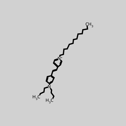 CCCCCCCCCCCCC[n+]1ccc(/C=C/c2ccc(N(CCCC)CCCC)cc2)cc1